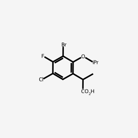 CC(C)Oc1c(C(C)C(=O)O)cc(Cl)c(F)c1Br